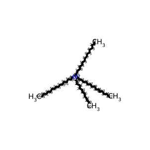 CCCCCCCCCCCCCCCCC[N+](CCCCCCCCCCCCC)(CCCCCCCCCCCCCCCCC)CCCCCCCCCCCCCCCCC